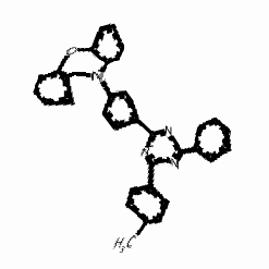 Cc1ccc(-c2nc(-c3ccccc3)nc(-c3ccc(N4c5ccccc5Oc5ccccc54)cc3)n2)cc1